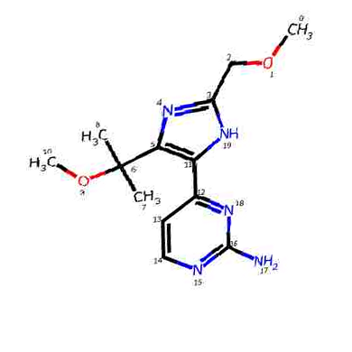 COCc1nc(C(C)(C)OC)c(-c2ccnc(N)n2)[nH]1